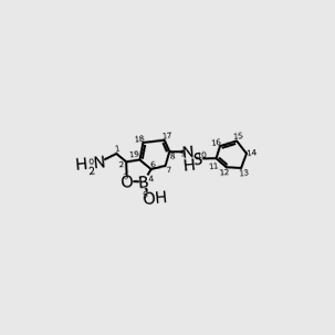 NCC1OB(O)C2CC(NSC3=CCCC=C3)=CC=C12